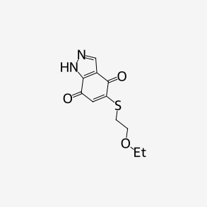 CCOCCSC1=CC(=O)c2[nH]ncc2C1=O